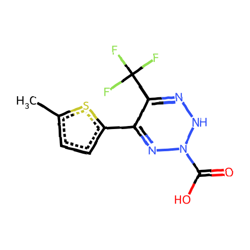 Cc1ccc(C2=NN(C(=O)O)NN=C2C(F)(F)F)s1